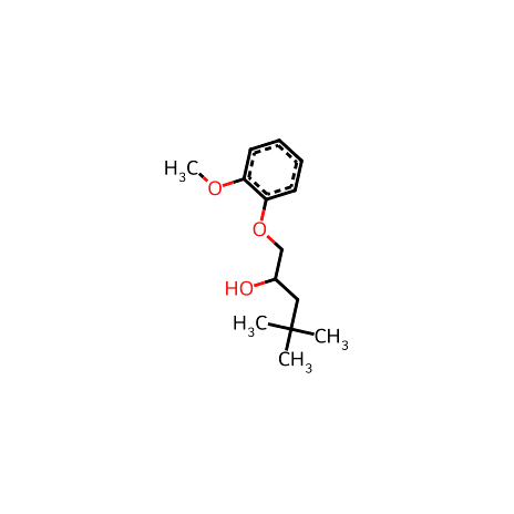 COc1ccccc1OCC(O)CC(C)(C)C